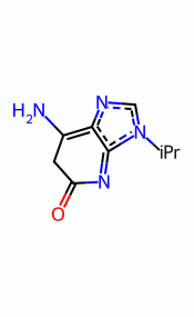 CC(C)n1cnc2c1=NC(=O)CC=2N